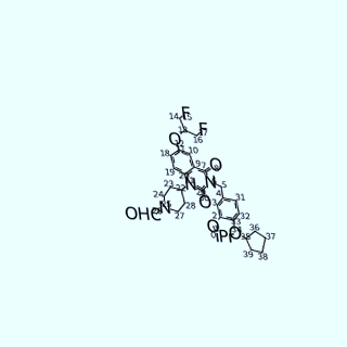 CC(C)Oc1cc(Cn2c(=O)c3cc(OC(CF)CF)ccc3n(C3CCN(C=O)CC3)c2=O)ccc1OC1CCCC1